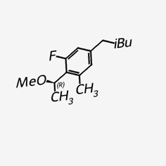 CCC(C)Cc1cc(C)c([C@@H](C)OC)c(F)c1